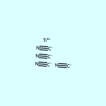 [C-]#N.[C-]#N.[C-]#N.[C-]#N.[Ti+4]